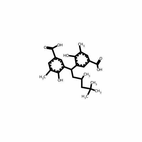 Cc1cc(C(=O)O)cc(C(CC(C)CC(C)(C)C)c2cc(C(=O)O)cc(C)c2O)c1O